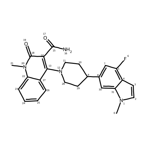 Cn1ccc2c(F)cc(C3CCN(c4c(C(N)=O)c(=O)n(C)c5ccccc45)CC3)cc21